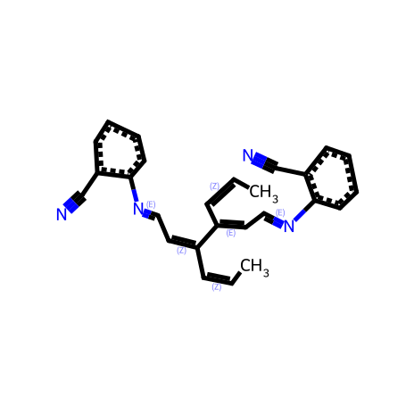 C\C=C/C(=C/C=N/c1ccccc1C#N)C(/C=C\C)=C/C=N/c1ccccc1C#N